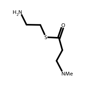 CNCCC(=O)SCCN